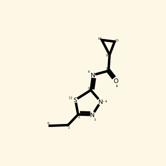 CCC1=N[N]C(=NC(=O)C2CC2)S1